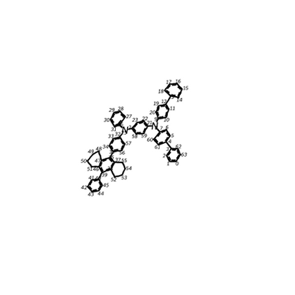 c1ccc(-c2ccc(N(c3ccc(-c4ccccc4)cc3)c3ccc(N(c4ccccc4)c4ccc(-c5c6c(c(-c7ccccc7)c7c5CCCC7)CCCC6)cc4)cc3)cc2)cc1